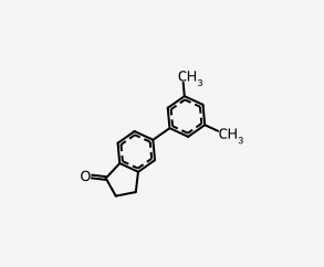 Cc1cc(C)cc(-c2ccc3c(c2)CCC3=O)c1